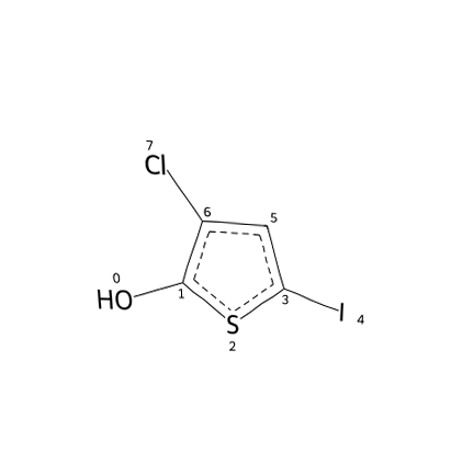 Oc1sc(I)cc1Cl